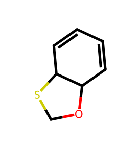 C1=CC2OCSC2C=C1